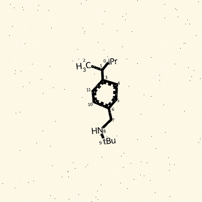 CC(C)C(C)c1ccc(CNC(C)(C)C)cc1